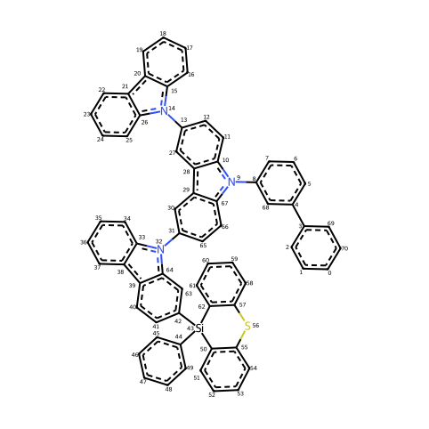 c1ccc(-c2cccc(-n3c4ccc(-n5c6ccccc6c6ccccc65)cc4c4cc(-n5c6ccccc6c6ccc([Si]7(c8ccccc8)c8ccccc8Sc8ccccc87)cc65)ccc43)c2)cc1